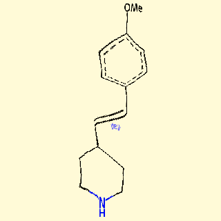 COc1ccc(/C=C/C2CCNCC2)cc1